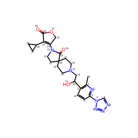 Cc1nc(-n2cnnn2)ccc1C(O)CN1CCC2(CC1)CCN(C1=C(C3CC3)C(=O)OC1)C2=O